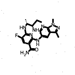 CC[C@H](N)[C@@H](C)Nc1nc(Nc2cnc3c(c2)c(C)nn3C)c(C(N)=O)cc1F